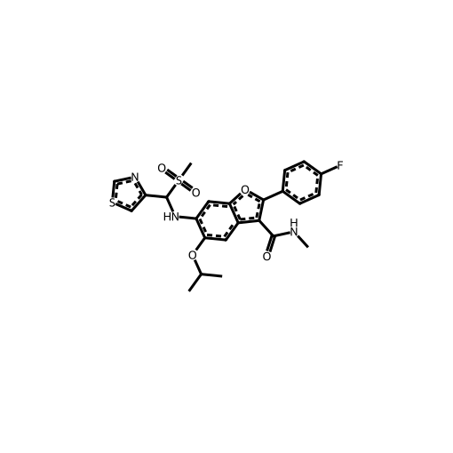 CNC(=O)c1c(-c2ccc(F)cc2)oc2cc(NC(c3cscn3)S(C)(=O)=O)c(OC(C)C)cc12